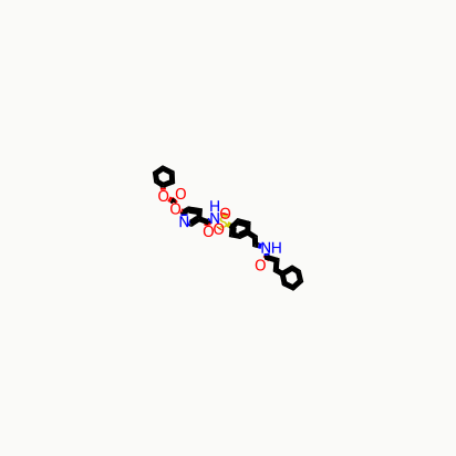 O=C(CCC1CCCCC1)NCCc1ccc(S(=O)(=O)NC(=O)c2ccc(OC(=O)OC3CCCCC3)nc2)cc1